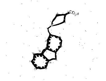 O=C(O)C1CN(Cc2ccc3c(c2)-c2ccccc2C3)C1